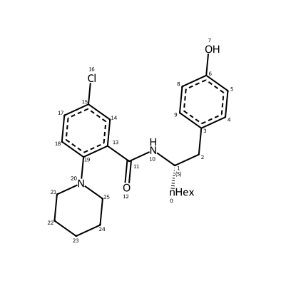 CCCCCC[C@@H](Cc1ccc(O)cc1)NC(=O)c1cc(Cl)ccc1N1CCCCC1